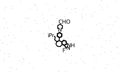 CC(C)CCC1=C(c2ccc(N3CCC(C=O)CC3)cc2)c2ccc3[nH]nc(F)c3c2CCC1